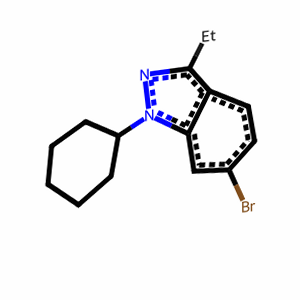 CCc1nn(C2CCCCC2)c2cc(Br)ccc12